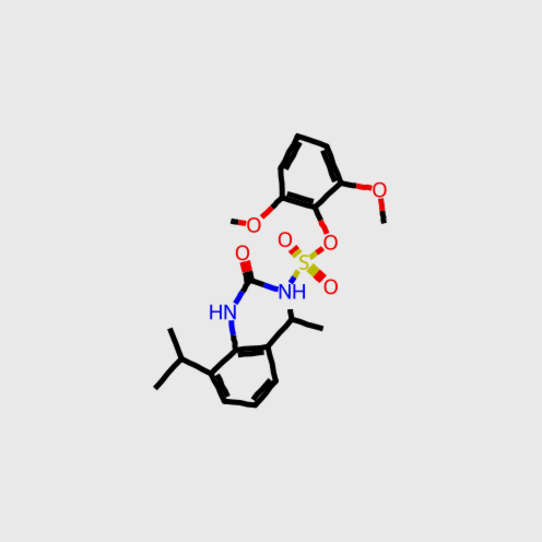 COc1cccc(OC)c1OS(=O)(=O)NC(=O)Nc1c(C(C)C)cccc1C(C)C